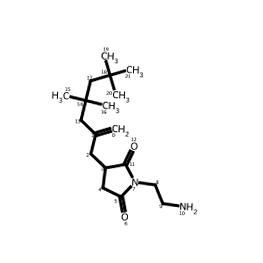 C=C(CC1CC(=O)N(CCN)C1=O)CC(C)(C)CC(C)(C)C